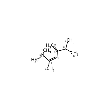 C=C(/C=C(/C)N(C)C)C(C)C